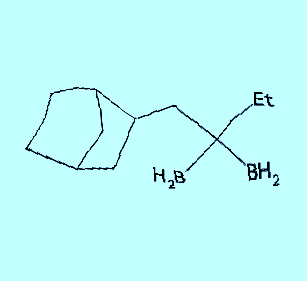 BC(B)(CC)CC1CC2CCC1C2